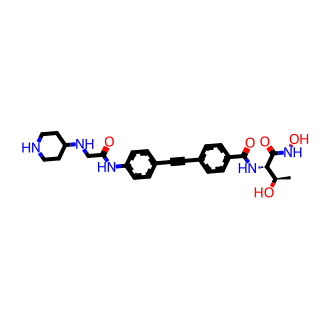 C[C@@H](O)[C@H](NC(=O)c1ccc(C#Cc2ccc(NC(=O)CNC3CCNCC3)cc2)cc1)C(=O)NO